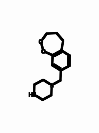 c1cc2c(cc1CN1CCNCC1)OOCCC2